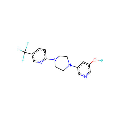 FOc1cncc(N2CCN(c3ccc(C(F)(F)F)cn3)CC2)c1